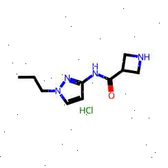 CCCn1ccc(NC(=O)C2CNC2)n1.Cl